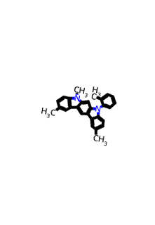 Cc1ccc2c(c1)c1cc3c4cc(C)ccc4n(-c4ccccc4C)c3cc1n2C